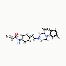 COc1ccc(C)cc1N1CCN(CCC2CCC(NC(=O)CC#N)CC2)CC1